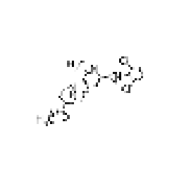 COC(=O)C1CCN(Cc2c(C)cc(C3CN(C4C(Cl)=CC=CC4Cl)C3)nc2C)CC1